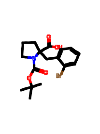 CC(C)(C)OC(=O)N1CCCC1(Cc1ccccc1Br)C(=O)O